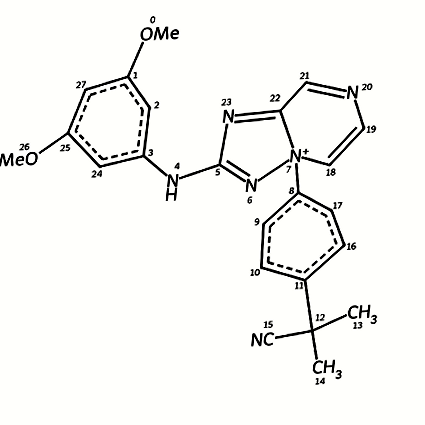 COc1cc(NC2=N[N+]3(c4ccc(C(C)(C)C#N)cc4)C=CN=CC3=N2)cc(OC)c1